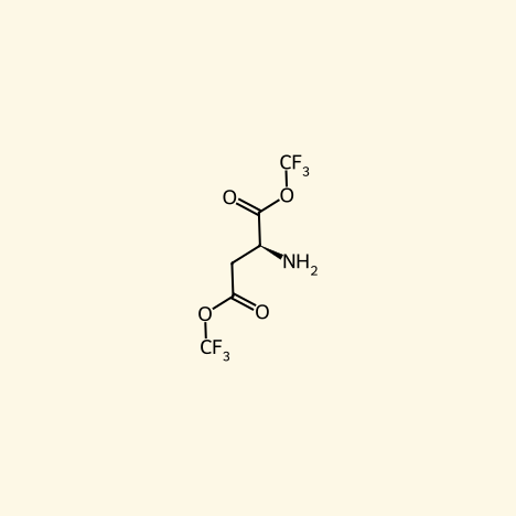 N[C@@H](CC(=O)OC(F)(F)F)C(=O)OC(F)(F)F